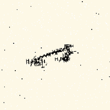 CC(C)[Si](C#CCCCCCCCCCCCCOCCOP(=O)(O)CO[C@H](C)Cn1cnc2c(N)ncnc21)(C(C)C)C(C)C